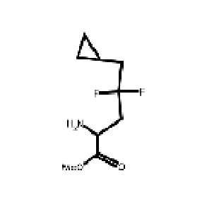 COC(=O)C(N)CC(F)(F)CC1CC1